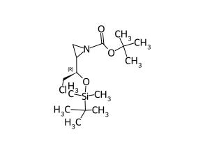 CC(C)(C)OC(=O)N1CC1[C@H](CCl)O[Si](C)(C)C(C)(C)C